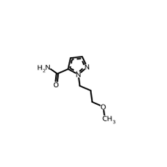 COCCCn1nccc1C(N)=O